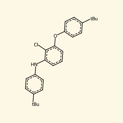 CC(C)(C)c1ccc(Nc2cccc(Oc3ccc(C(C)(C)C)cc3)c2Cl)cc1